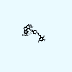 COc1ccc2ncc(CN)c([C@@H](O)CCC3(C(=O)O)CCN(CCCc4cc(F)cc(F)c4F)CC3)c2c1